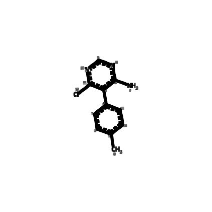 Cc1ccc(-c2c(N)ncnc2Cl)cc1